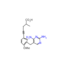 COc1ccc(C#CCC(C)C(=O)O)cc1Cc1cnc(N)nc1N